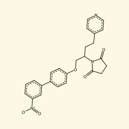 O=C1CCC(=O)N1C(CCc1ccncc1)COc1ccc(-c2cccc([N+](=O)[O-])c2)cc1